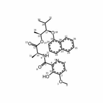 COc1ccnc(C(=O)N[C@@H](C)C(=O)O[C@@H](C)[C@H](Oc2cccc3ccccc23)C(C)C)c1O